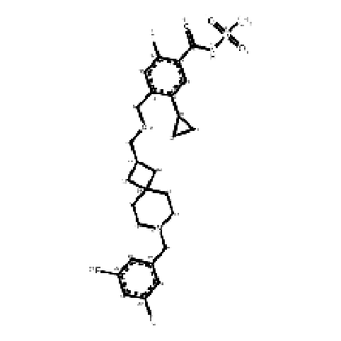 CS(=O)(=O)NC(=O)c1cc(C2CC2)c(COCC2CC3(CCN(Cc4cc(F)cc(F)c4)CC3)C2)cc1F